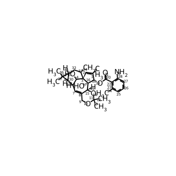 CC1=C[C@]23C(O)[C@@H](C=C4COC(C)(C)O[C@H]4[C@]2(O)[C@H]1OC(=O)c1c(C)cccc1N)[C@H]1[C@@H](C[C@H]3C)C1(C)C